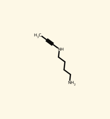 CC#CNCCCCN